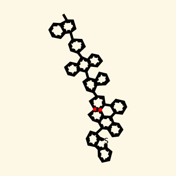 Cc1ccc(-c2ccc(-c3c4ccccc4c(-c4ccc(-c5cccc(-c6ccccc6-c6c7ccccc7c(-c7cccc8c7sc7ccccc78)c7ccccc67)c5)c5ccccc45)c4ccccc34)cc2)c2ccccc12